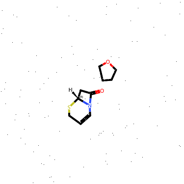 C1CCOC1.O=C1C[C@H]2SCC=CN12